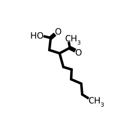 CCCCCCC(CC(=O)O)C(C)=O